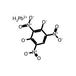 O=[N+]([O-])c1cc([N+](=O)[O-])c([O-])c([N+](=O)[O-])c1[O-].[PbH2+2]